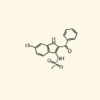 CS(=O)(=O)Nc1c(C(=O)c2ccccc2)[nH]c2cc(Cl)ccc12